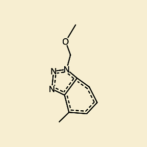 COCn1nnc2c(C)cccc21